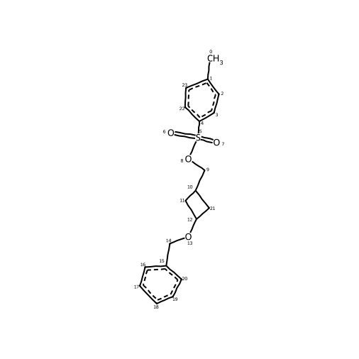 Cc1ccc(S(=O)(=O)OCC2CC(OCc3ccccc3)C2)cc1